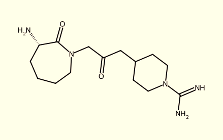 N=C(N)N1CCC(CC(=O)CN2CCCC[C@H](N)C2=O)CC1